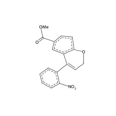 COC(=O)c1ccc2c(c1)C(c1ccccc1[N+](=O)[O-])=CCO2